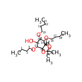 CCCCOC1C(O)[C@H](OCCCC)C(OCCCC)[C@H]2OC(C)(C)OC12